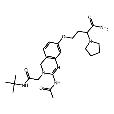 CC(=O)NC1=Nc2cc(OCCC(C(N)=O)N3CCCC3)ccc2CN1CC(=O)NC(C)(C)C